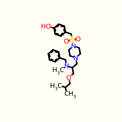 CC(C)COCC(CN1CCN(S(=O)(=O)Cc2ccc(O)cc2)CC1)N(C)Cc1ccccc1